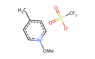 CO[n+]1ccc(C)cc1.O=S(=O)([O-])C(F)(F)F